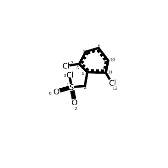 O=S(=O)(Cl)Cc1c(Cl)cccc1Cl